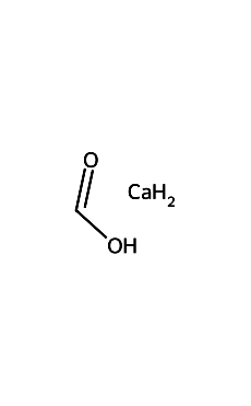 O=CO.[CaH2]